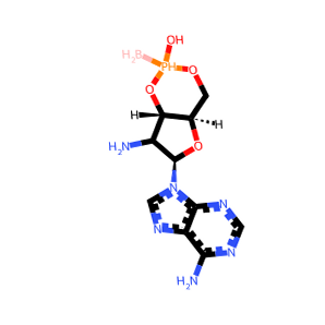 B[PH]1(O)OC[C@H]2O[C@@H](n3cnc4c(N)ncnc43)C(N)[C@@H]2O1